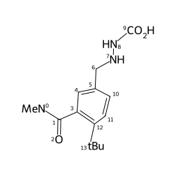 CNC(=O)c1cc(CNNC(=O)O)ccc1C(C)(C)C